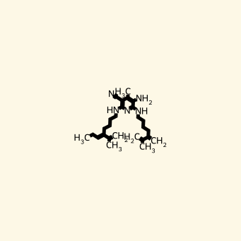 C=C(C)C(=C)CCCCNc1nc(NCCCC/C(=C\CC)C(=C)C)c(C#N)c(C)c1N